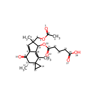 CC(=O)OCC1(C)C=C2C(=O)[C@@H](C)C3(CC3)C(C)=C2C1OC(=O)CCCC(=O)O